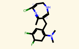 CC1=N\C(Cl)=C/CN/C=C\1CC1=C(N(C)C)CC(F)C(F)=C1